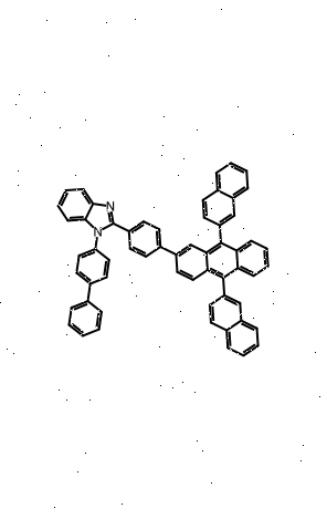 c1ccc(-c2ccc(-n3c(-c4ccc(-c5ccc6c(-c7ccc8ccccc8c7)c7ccccc7c(-c7ccc8ccccc8c7)c6c5)cc4)nc4ccccc43)cc2)cc1